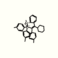 Cc1ccc(C2=C(C3CCCCC3)c3ccccc3[N+](C)(C)[B-]2(c2ccc(C)cc2)c2ccc(C)cc2)cc1